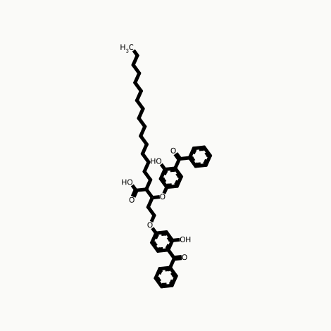 CCCCCCCCCCCCCCCCC(C(=O)O)C(CCOc1ccc(C(=O)c2ccccc2)c(O)c1)Oc1ccc(C(=O)c2ccccc2)c(O)c1